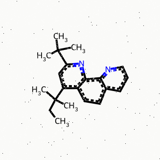 CCC(C)(C)c1cc(C(C)(C)C)nc2c1ccc1cccnc12